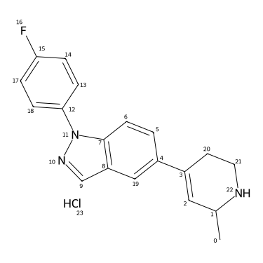 CC1C=C(c2ccc3c(cnn3-c3ccc(F)cc3)c2)CCN1.Cl